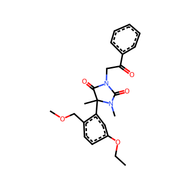 CCOc1ccc(COC)c(C2(C)C(=O)N(CC(=O)c3ccccc3)C(=O)N2C)c1